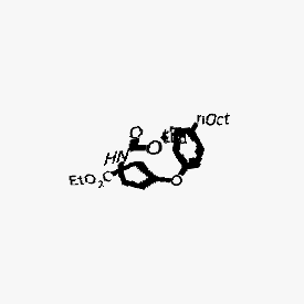 CCCCCCCCc1ccc(OC2CCC(NC(=O)OC(C)(C)C)(C(=O)OCC)C2)cc1